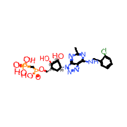 Cc1nc(NCc2ccccc2Cl)c2nnn([C@@H]3C[C@H](COP(=O)(O)CP(=O)(O)O)[C@@H](O)[C@H]3O)c2n1